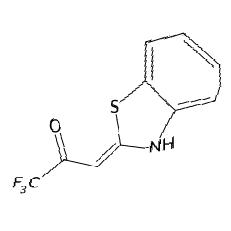 O=C(C=C1Nc2ccccc2S1)C(F)(F)F